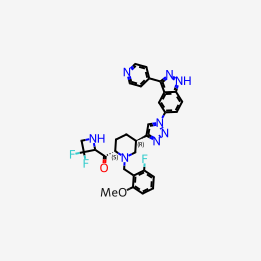 COc1cccc(F)c1CN1C[C@H](c2cn(-c3ccc4[nH]nc(-c5ccncc5)c4c3)nn2)CC[C@H]1C(=O)C1NCC1(F)F